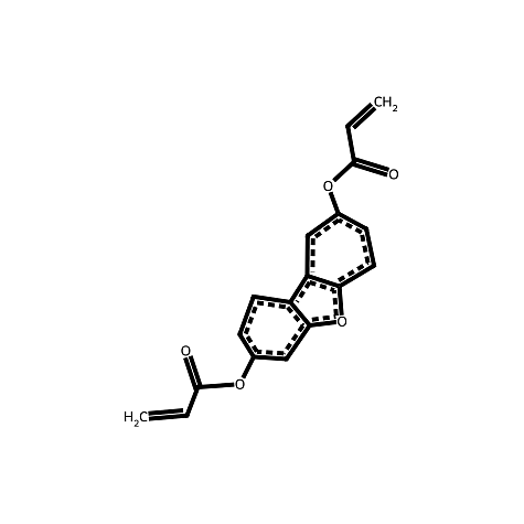 C=CC(=O)Oc1ccc2c(c1)oc1ccc(OC(=O)C=C)cc12